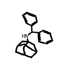 c1ccc(C(NC23CC4CC(CC(C4)C2)C3)c2ccccc2)cc1